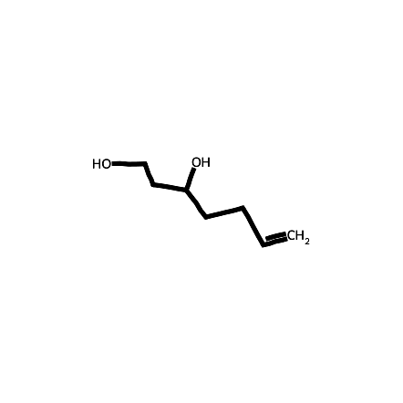 C=CCCC(O)CCO